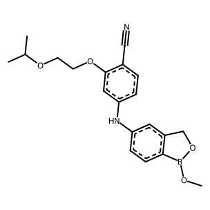 COB1OCc2cc(Nc3ccc(C#N)c(OCCOC(C)C)c3)ccc21